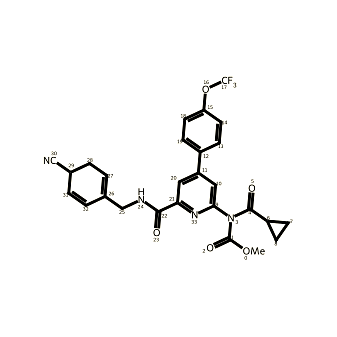 COC(=O)N(C(=O)C1CC1)c1cc(-c2ccc(OC(F)(F)F)cc2)cc(C(=O)NCC2=CCC(C#N)C=C2)n1